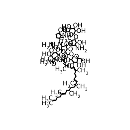 C=C(C/C=C(\C)CCC=C(C)C)CCC(C)(C)/C=C/CC/C(C)=C\CO[C@@H](C)COP(=O)(O)O[C@H]1OC(C(N)=O)[C@@](C)(O)C(OC(N)=O)C1O[C@@H]1OC(CO[C@@H]2OC(CO)[C@@H](O)C(O)C2O)[C@@H](O[C@@H]2OC(C)[C@@H](O[C@@H]3OC(C(=O)NC4=C(O)CCC4=O)[C@H](O)C(O)C3O)C(O)C2N)C(O)C1N